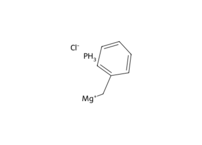 P.[Cl-].[Mg+][CH2]c1ccccc1